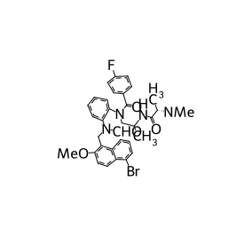 CN[C@@H](C)C(=O)NC(C)CN(C(=O)c1ccc(F)cc1)c1ccccc1N(C=O)Cc1c(OC)ccc2c(Br)cccc12